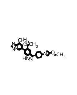 CCOC1CN(C2CCC(c3n[nH]c4cc(-c5cc(C)c6ncnn6c5)c(C(C)C)cc34)CC2)C1